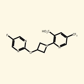 O=C(O)c1cc(C(F)(F)F)cnc1N1CC(Oc2ncc(F)cn2)C1